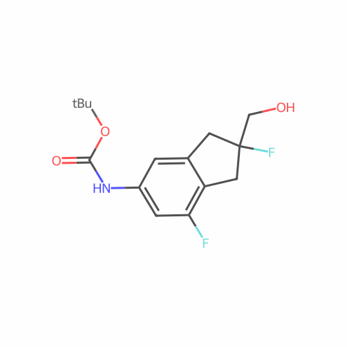 CC(C)(C)OC(=O)Nc1cc(F)c2c(c1)CC(F)(CO)C2